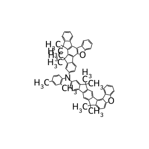 Cc1ccc(N(c2ccc3c(c2)C(C)(C)c2cc4c(cc2-3)C(C)(C)c2ccc3oc5ccccc5c3c2-4)c2ccc3c(c2)C(C)(C)c2c4c(c5c(oc6ccccc65)c2-3)-c2ccccc2C4(C)C)c(C)c1